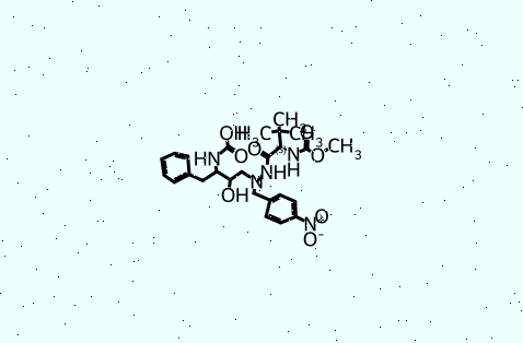 COC(=O)N[C@H](C(=O)NN(Cc1ccc([N+](=O)[O-])cc1)CC(O)C(Cc1ccccc1)NC(=O)O)C(C)(C)C